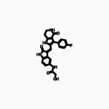 O=C(CO)Nc1ccc2c(c1)C(=Cc1[nH]c3c(c1-c1ccc(F)cc1)C(=O)NCC3)C(=O)N2